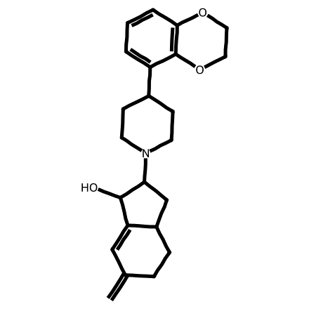 C=C1C=C2C(CC1)CC(N1CCC(c3cccc4c3OCCO4)CC1)C2O